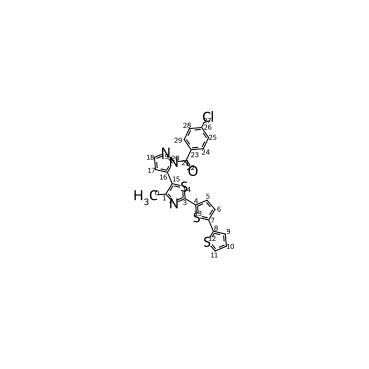 Cc1nc(-c2ccc(-c3cccs3)s2)sc1-c1ccnn1C(=O)c1ccc(Cl)cc1